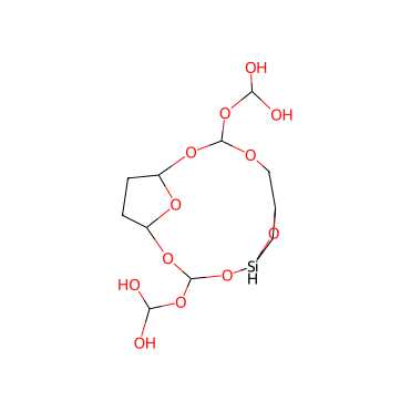 OC(O)OC1OCC2C[SiH](O2)OC(OC(O)O)OC2CCC(O2)O1